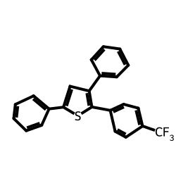 FC(F)(F)c1ccc(-c2sc(-c3ccccc3)cc2-c2ccccc2)cc1